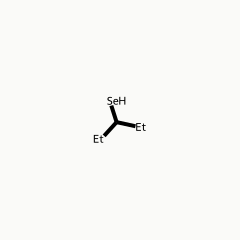 CCC([SeH])CC